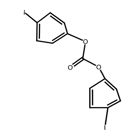 O=C(Oc1ccc(I)cc1)Oc1ccc(I)cc1